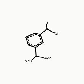 COC(OC)c1cccc(B(O)O)n1